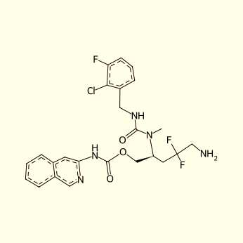 CN(C(=O)NCc1cccc(F)c1Cl)[C@H](COC(=O)Nc1cc2ccccc2cn1)CC(F)(F)CN